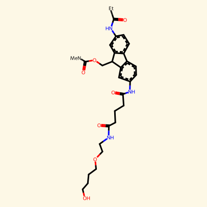 CCC(=O)Nc1ccc2c(c1)C(COC(=O)NC)c1cc(NC(=O)CCCC(=O)NCCOCCCCO)ccc1-2